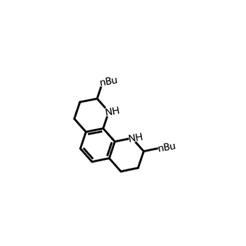 CCCCC1CCc2ccc3c(c2N1)NC(CCCC)CC3